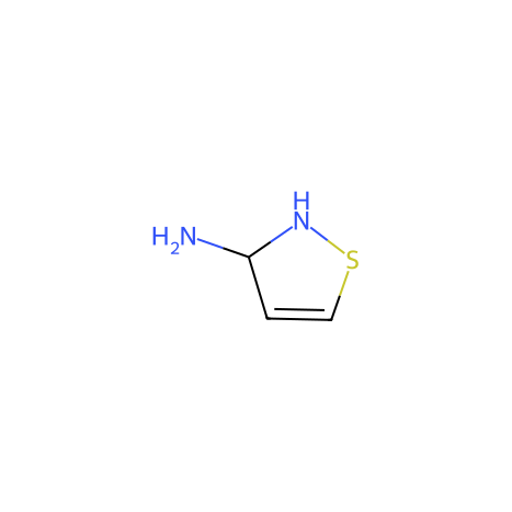 NC1C=CSN1